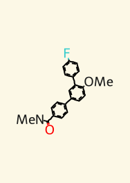 CNC(=O)c1ccc(-c2ccc(OC)c(-c3ccc(F)cc3)c2)cc1